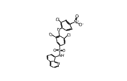 O=[N+]([O-])c1ccc(Oc2c(Cl)cc(S(=O)(=O)Nc3cccc4cccnc34)cc2Cl)c(Cl)c1